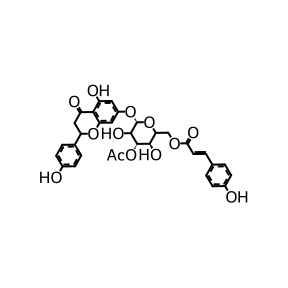 CC(=O)O[C@@H]1C(O)[C@H](Oc2cc(O)c3c(c2)OC(c2ccc(O)cc2)CC3=O)OC(COC(=O)/C=C/c2ccc(O)cc2)[C@H]1O